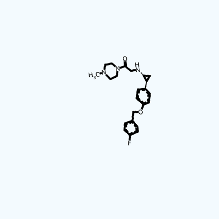 CN1CCN(C(=O)CN[C@@H]2C[C@H]2c2ccc(OCc3ccc(F)cc3)cc2)CC1